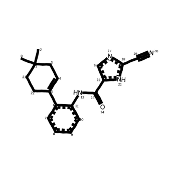 CC1(C)CC=C(c2ccccc2NC(=O)c2cnc(C#N)[nH]2)CC1